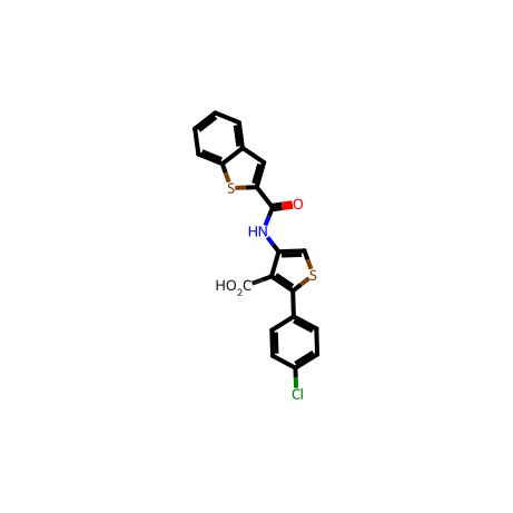 O=C(Nc1csc(-c2ccc(Cl)cc2)c1C(=O)O)c1cc2ccccc2s1